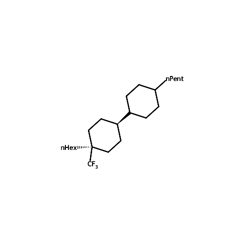 CCCCCC[C@]1(C(F)(F)F)CC[C@@H](C2CCC(CCCCC)CC2)CC1